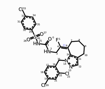 O=C(NC/C(F)=C1/CCCCc2cnn(Cc3ccc(Cl)cc3Cl)c21)NS(=O)(=O)c1ccc(Cl)cc1